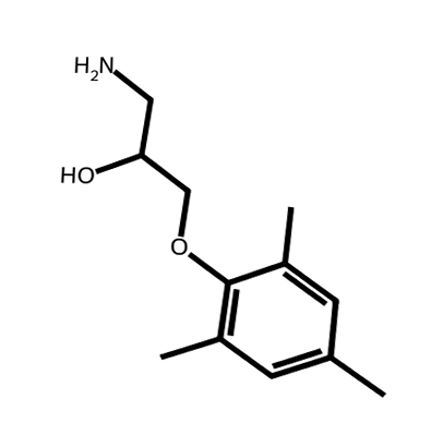 Cc1cc(C)c(OCC(O)CN)c(C)c1